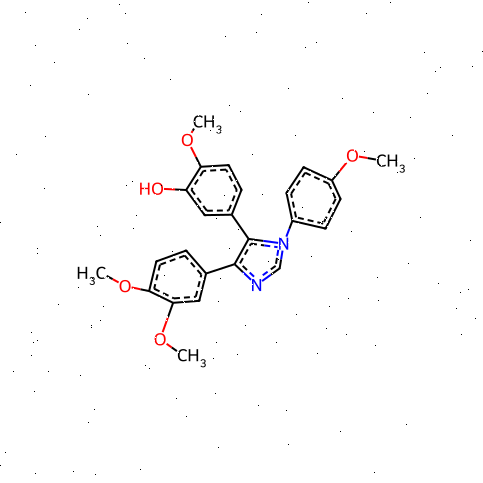 COc1ccc(-n2cnc(-c3ccc(OC)c(OC)c3)c2-c2ccc(OC)c(O)c2)cc1